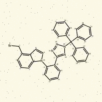 BrCc1cccc2c1ccn2-c1ccccc1-c1nnn(C(c2ccccc2)(c2ccccc2)c2ccccc2)n1